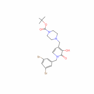 CC(C)(C)OC(=O)N1CCN(Cc2ccn(Cc3cc(Br)cc(Br)c3)c(=O)c2O)CC1